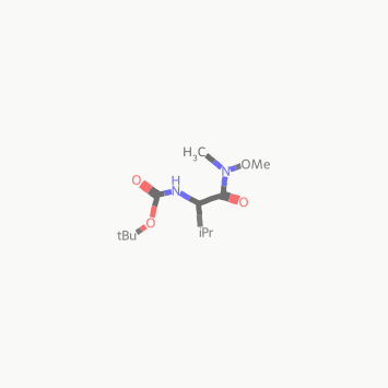 CON(C)C(=O)C(NC(=O)OC(C)(C)C)C(C)C